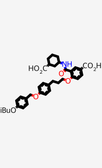 CC(C)COc1ccc(COc2ccc(CCCOc3ccc(C(=O)O)cc3C(=O)NC3CCCC(C(=O)O)C3)cc2)cc1